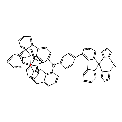 c1ccc(C2(c3ccccc3)c3ccccc3-c3ccc(N(c4ccc(-c5cccc6c5-c5ccccc5C65c6ccccc6Sc6ccccc65)cc4)c4cccc5ccc6c7ccccc7oc6c45)cc32)cc1